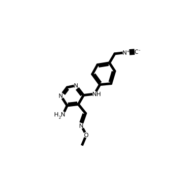 [C-]#[N+]Cc1ccc(Nc2ncnc(N)c2/C=N/OC)cc1